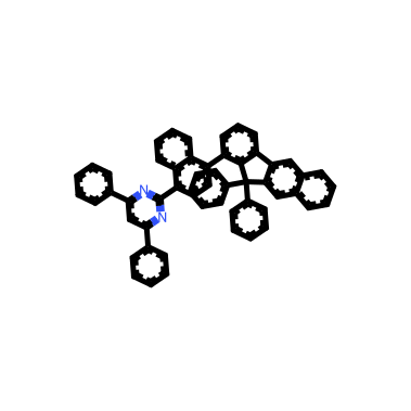 c1ccc(-c2cc(-c3ccccc3)nc(-c3ccc(-c4cccc5c4C(c4ccccc4)(c4ccccc4)c4cc6ccccc6cc4-5)c4ccccc34)n2)cc1